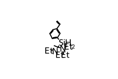 C=Cc1cccc([SiH2]C(C)(N(CC)CC)N(CC)CC)c1